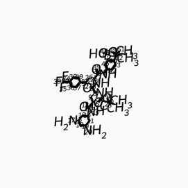 CC(C)(C)OC(=O)N[C@@H](CCC(=O)N[C@@H]1C[C@H](N)C[C@H](N)C1)C(=O)N[C@H](CCc1ccc(C(F)(F)F)cc1)C(=O)Nc1ccc2c(c1)B(O)OC2(C)C